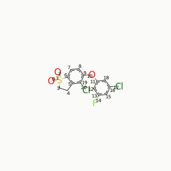 O=S1(=O)CCc2c1ccc(Oc1cc(F)cc(Cl)c1)c2Cl